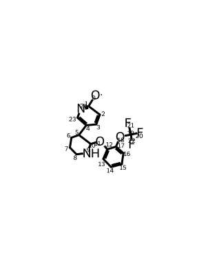 [O]c1ccc(C2CCCNC2Oc2ccccc2OC(F)(F)F)cn1